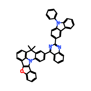 CC1(C)c2cc(-c3nc(-c4ccc5c(c4)c4ccccc4n5-c4ccccc4)nc4ccccc34)ccc2-n2c3c1cccc3c1oc3ccccc3c12